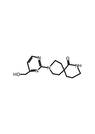 O=C1NCCCC12CCN(c1nccc(CO)n1)CC2